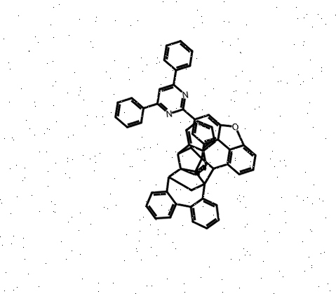 c1ccc(-c2cc(-c3ccccc3)nc(-c3cc4c5c(c3)oc3cccc(c35)C3C56CC(c7ccccc7-c7ccccc75)C57c8ccccc8-c8ccccc8C5CC43C67)n2)cc1